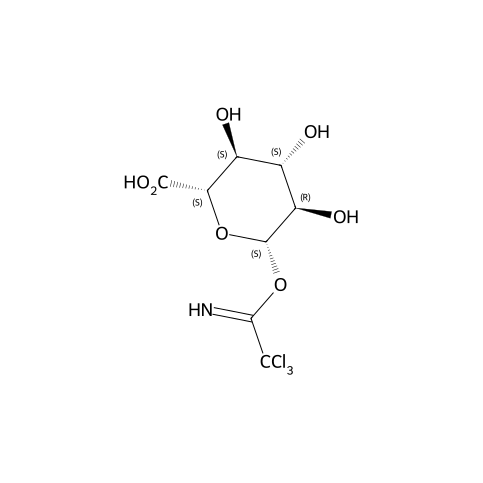 N=C(O[C@@H]1O[C@H](C(=O)O)[C@@H](O)[C@H](O)[C@H]1O)C(Cl)(Cl)Cl